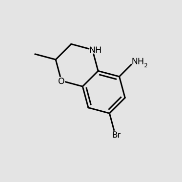 CC1CNc2c(N)cc(Br)cc2O1